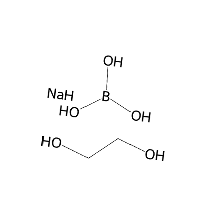 OB(O)O.OCCO.[NaH]